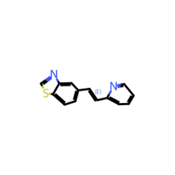 C(=C\c1ccccn1)/c1ccc2scnc2c1